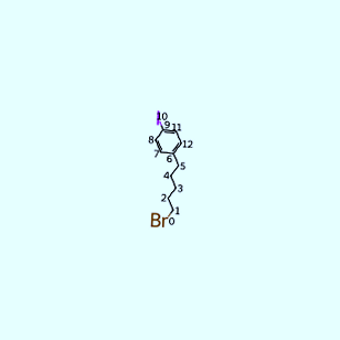 BrCCCCCc1ccc(I)cc1